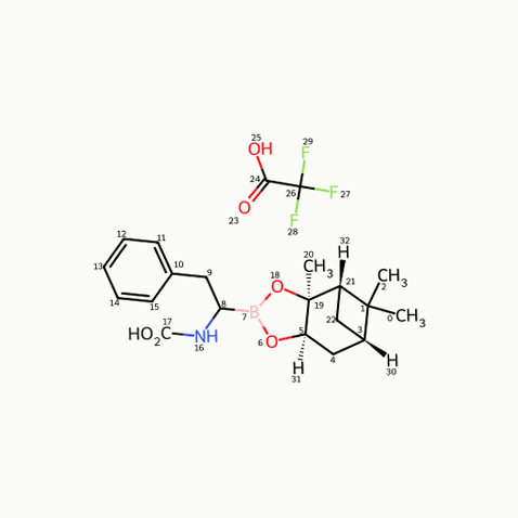 CC1(C)[C@@H]2C[C@H]3OB(C(Cc4ccccc4)NC(=O)O)O[C@@]3(C)[C@H]1C2.O=C(O)C(F)(F)F